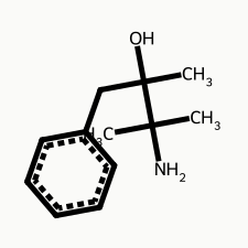 CC(C)(N)C(C)(O)Cc1ccccc1